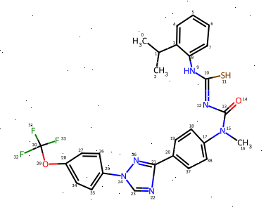 CC(C)c1ccccc1N/C(S)=N/C(=O)N(C)c1ccc(-c2ncn(-c3ccc(OC(F)(F)F)cc3)n2)cc1